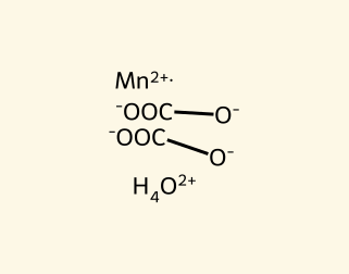 O=C([O-])[O-].O=C([O-])[O-].[Mn+2].[OH4+2]